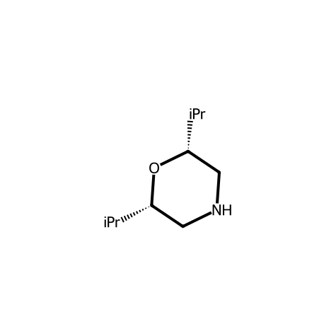 CC(C)[C@@H]1CNC[C@H](C(C)C)O1